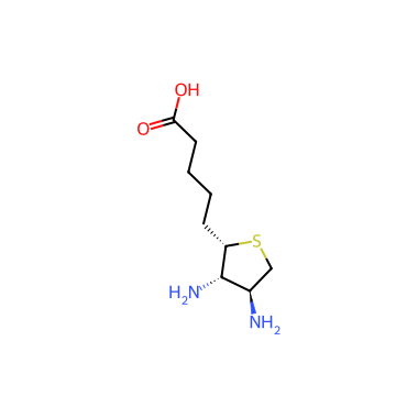 N[C@H]1[C@H](N)CS[C@H]1CCCCC(=O)O